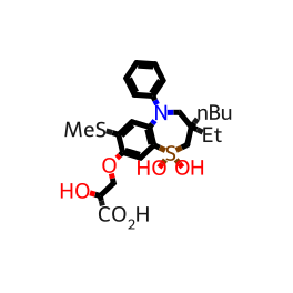 CCCCC1(CC)CN(c2ccccc2)c2cc(SC)c(OCC(O)C(=O)O)cc2S(O)(O)C1